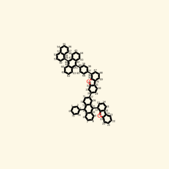 c1ccc(-c2c3ccccc3c(-c3cccc4c3oc3ccccc34)c3cc(-c4ccc5c(c4)oc4c(-c6ccc(-c7c8ccccc8c(-c8cccc9ccccc89)c8ccccc78)cc6)cccc45)ccc23)cc1